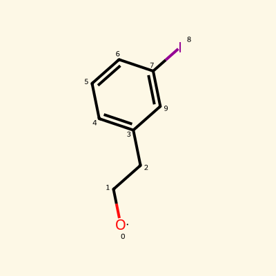 [O]CCc1cccc(I)c1